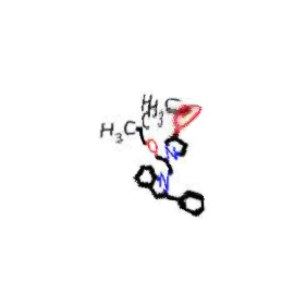 COC1CCN(C(COCC(C)C)CN2c3ccccc3CC2c2ccccc2)C1